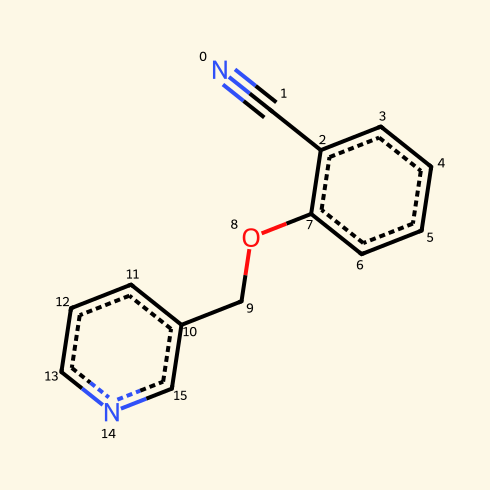 N#Cc1ccccc1OCc1cccnc1